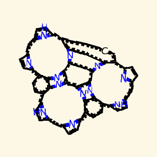 C1=Cc2nc1cc1ccc([nH]1)c1ccc3c4nc(cc5ccc([nH]5)c5ccc6c7nc(cc8ccc([nH]8)c8ccc2c2nc9c(nc82)c2nc6c5nc2c2nc3c1nc92)C=C7)C=C4